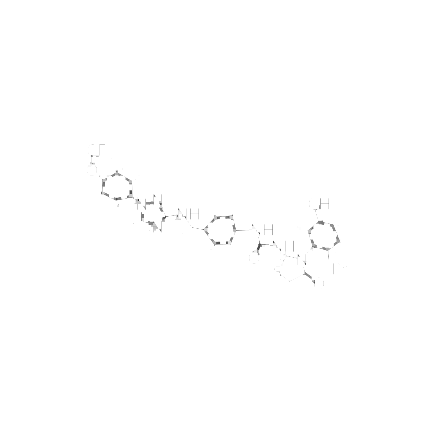 Cc1ccc(C(C)C)c(N2C(=O)CSC2NC(=O)Nc2ccc(CNc3ncn(-c4ccc(OC(F)(F)F)cc4)n3)cc2)c1